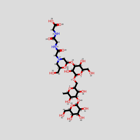 CC1OC(COC2OC(CO)C(O)C(OC3CN(CC(=O)NCC(=O)NCC(=O)O)CC(CO)O3)C2O)C(O)C(OC2OC(CO)C(O)C(O)C2O)C1O